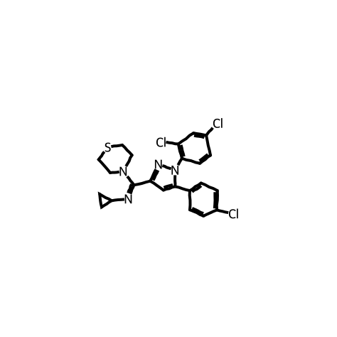 Clc1ccc(-c2cc(C(=NC3CC3)N3CCSCC3)nn2-c2ccc(Cl)cc2Cl)cc1